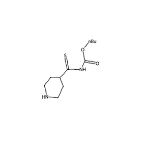 CCCCOC(=O)NC(=S)C1CCNCC1